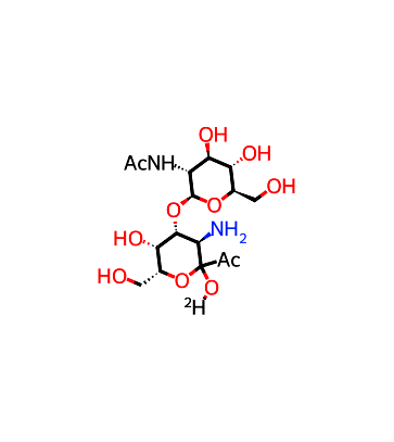 [2H]OC1(C(C)=O)O[C@H](CO)[C@H](O)[C@H](O[C@@H]2O[C@H](CO)[C@@H](O)[C@H](O)[C@H]2NC(C)=O)[C@H]1N